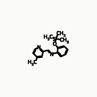 Cc1ccnc(C=Nc2ccccc2O[Si](C)(C)C)c1